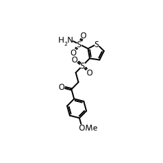 COc1ccc(C(=O)CCS(=O)(=O)c2ccsc2S(N)(=O)=O)cc1